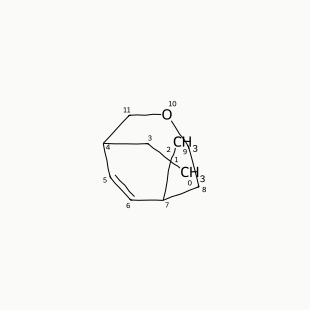 CC1(C)CC2C=CC1CCOC2